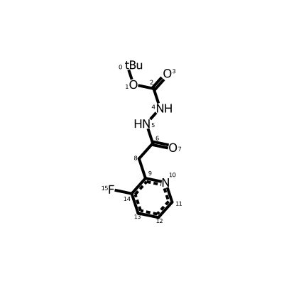 CC(C)(C)OC(=O)NNC(=O)Cc1ncccc1F